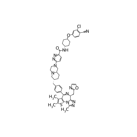 Cc1sc2c(c1C)C(c1ccc(C[C@H]3CCC4CN(c5ccc(C(=O)N[C@H]6CC[C@H](Oc7ccc(C#N)c(Cl)c7)CC6)nn5)CCN4C3)cc1)=N[C@@H](Cc1ncco1)c1nnc(C)n1-2